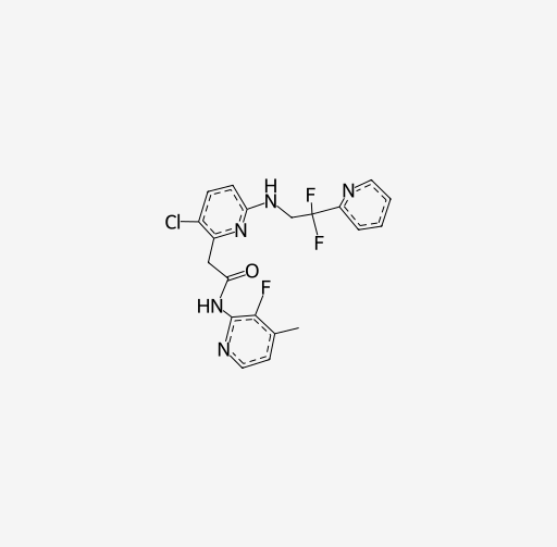 Cc1ccnc(NC(=O)Cc2nc(NCC(F)(F)c3ccccn3)ccc2Cl)c1F